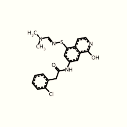 CN(C)/C=N/Sc1cc(NC(=O)Cc2ccccc2Cl)cc2c(O)nccc12